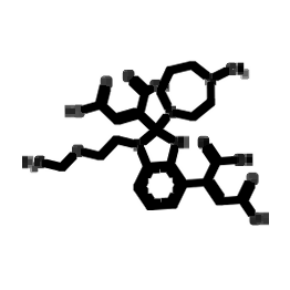 CCOCCN1c2cccc(C(=CC(=O)O)C(=O)O)c2NC1(C(=CC(=O)O)C(=O)O)N1CCCN(C)CC1